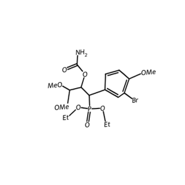 CCOP(=O)(OCC)C(c1ccc(OC)c(Br)c1)C(OC(N)=O)C(OC)OC